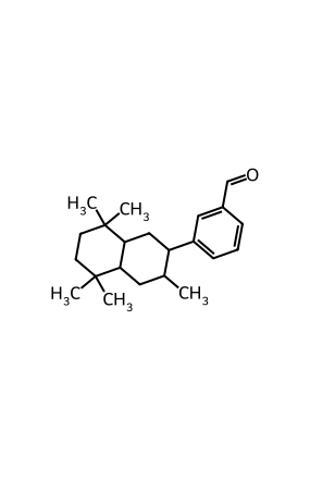 CC1CC2C(CC1c1cccc(C=O)c1)C(C)(C)CCC2(C)C